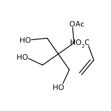 C=CC(=O)O.CC(=O)OCC(CO)(CO)CO